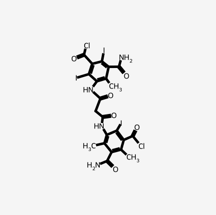 Cc1c(NC(=O)CC(=O)Nc2c(C)c(C(N)=O)c(I)c(C(=O)Cl)c2I)c(I)c(C(=O)Cl)c(C)c1C(N)=O